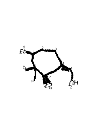 CCC1CCC(=CO)C(=O)C1(C)C